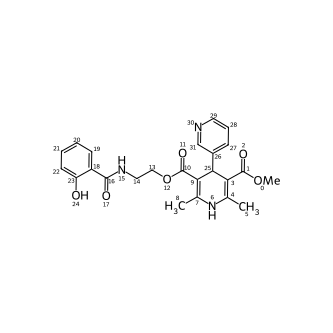 COC(=O)C1=C(C)NC(C)=C(C(=O)OCCNC(=O)c2ccccc2O)C1c1cccnc1